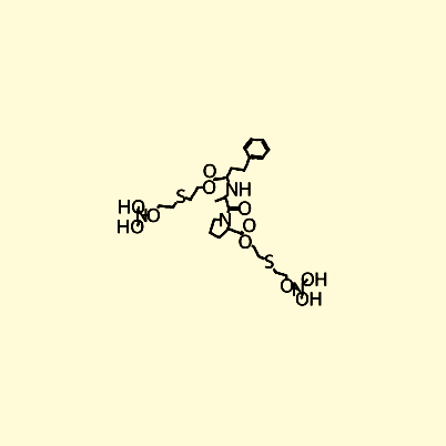 CC(NC(CCc1ccccc1)C(=O)OCCSCCON(O)O)C(=O)N1CCCC1C(=O)OCCSCCON(O)O